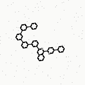 c1ccc(-c2ccc(-c3nc(-c4cccc(-c5cccc(-c6cccc(-c7cccc(-c8ccccc8)c7)c6)c5)c4)cc4ccccc34)nc2)cc1